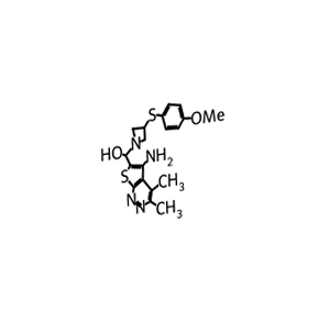 COc1ccc(SC2CN(C(O)c3sc4nnc(C)c(C)c4c3N)C2)cc1